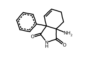 NC12CCC=CC1(c1ccccc1)C(=O)NC2=O